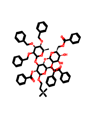 C[C@@H]1OC(O[C@@H]2[C@@H](OC(=O)c3ccccc3)[C@H](OCC[Si](C)(C)C)O[C@H](COC(=O)c3ccccc3)[C@H]2O[C@@H]2O[C@H](COC(=O)c3ccccc3)[C@H](O)[C@H](O)[C@H]2OC(=O)c2ccccc2)[C@@H](OCc2ccccc2)[C@H](OCc2ccccc2)[C@@H]1OCc1ccccc1